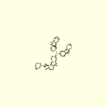 c1ccc(-c2nc3c(ccc4oc5cc(C(c6ccc7oc8ccccc8c7c6)c6ccc7oc8ccccc8c7c6)ccc5c43)s2)cc1